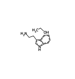 CCO.NCCc1c[nH]c2ccccc12